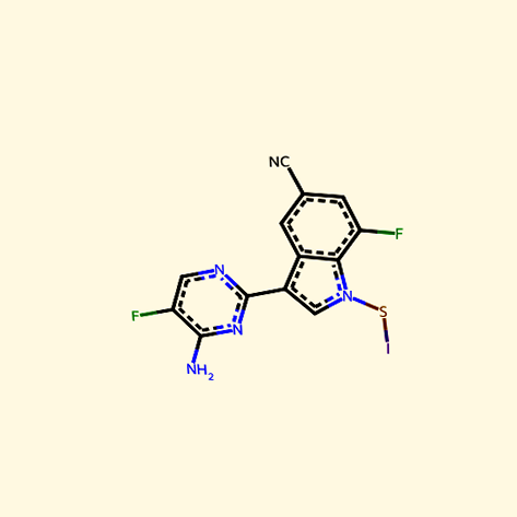 N#Cc1cc(F)c2c(c1)c(-c1ncc(F)c(N)n1)cn2SI